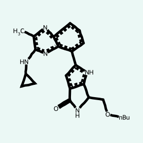 CCCCOCC1NC(=O)c2cc(-c3cccc4nc(C)c(NC5CC5)nc34)[nH]c21